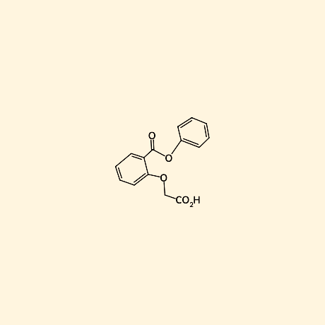 O=C(O)COc1ccccc1C(=O)Oc1ccccc1